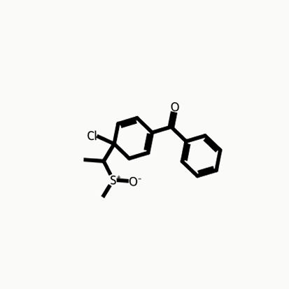 CC([S+](C)[O-])C1(Cl)C=CC(C(=O)c2ccccc2)=CC1